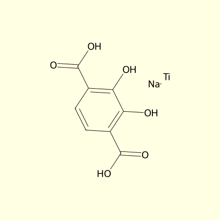 O=C(O)c1ccc(C(=O)O)c(O)c1O.[Na].[Ti]